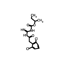 CCC(C)OC(=O)NC(=N)NC(=O)Cc1c(Cl)cccc1Cl